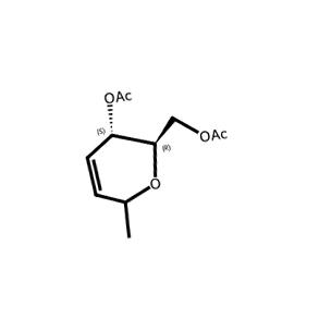 CC(=O)OC[C@H]1OC(C)C=C[C@@H]1OC(C)=O